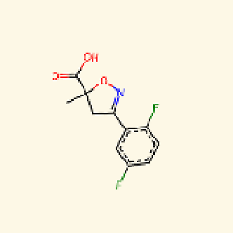 CC1(C(=O)O)CC(c2cc(F)ccc2F)=NO1